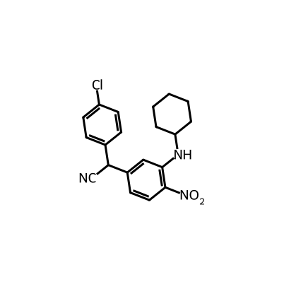 N#CC(c1ccc(Cl)cc1)c1ccc([N+](=O)[O-])c(NC2CCCCC2)c1